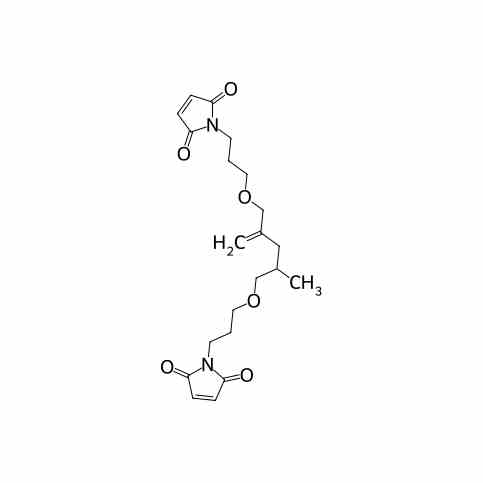 C=C(COCCCN1C(=O)C=CC1=O)CC(C)COCCCN1C(=O)C=CC1=O